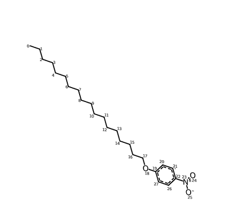 CCCCCCCCCCCCCCCCCCOc1c[c]c([N+](=O)[O-])cc1